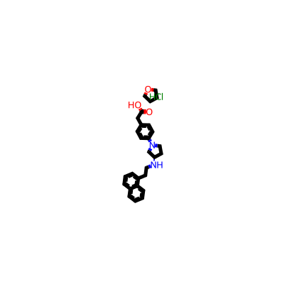 C1CCOC1.Cl.O=C(O)Cc1ccc(N2CC[C@H](NCCc3cccc4ccccc34)C2)cc1